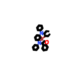 C/C=C(Br)\C(=C/C)N(c1ccccc1)c1cccc(N(c2ccccc2)c2coc3ccccc23)c1